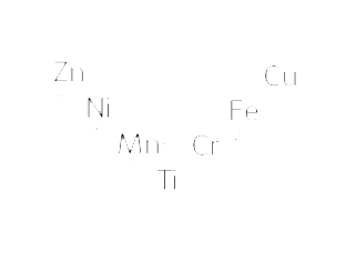 [Cr].[Cu].[Fe].[Mn].[Ni].[Ti].[Zn]